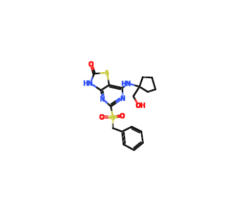 O=c1[nH]c2nc(S(=O)(=O)Cc3ccccc3)nc(NC3(CO)CCCC3)c2s1